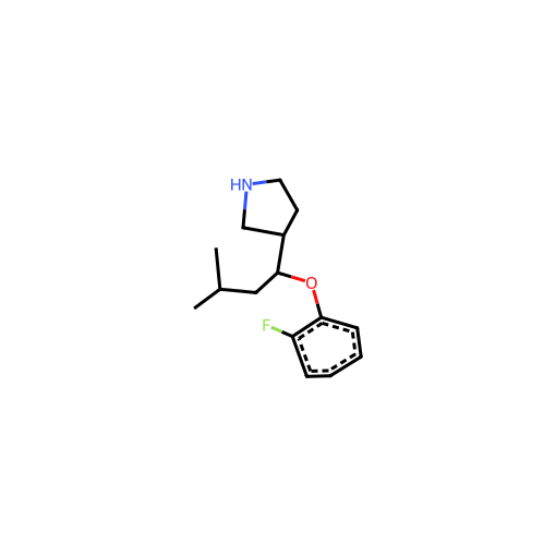 CC(C)CC(Oc1ccccc1F)C1CCNC1